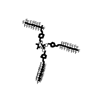 CC(F)C(C)NC(COCc1ccc(/C=C/C(C)(F)C(F)(F)C(F)(F)C(F)(F)C(F)(F)C(F)(F)C(F)(F)C(F)(F)F)cc1)(COCc1ccc(/C=C/C(F)(F)C(F)(F)C(F)(F)C(F)(F)C(F)(F)C(F)(F)C(F)(F)C(F)(F)F)cc1)COCc1ccc(/C=C/C(F)(F)C(F)(F)C(F)(F)C(F)(F)C(F)(F)C(F)(F)C(F)(F)C(F)(F)F)cc1